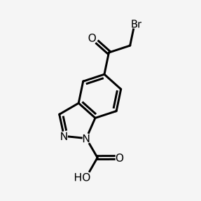 O=C(CBr)c1ccc2c(cnn2C(=O)O)c1